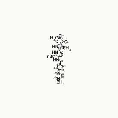 CCCC[C@H](NC(=O)c1[nH]c2c(c1C)C(=O)CC(C)(C)C2)C(=O)NCc1ccc(N2CCN(C)CC2)cc1